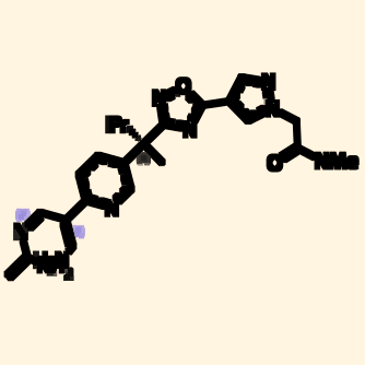 C=C(N)/N=C\C(=C/N)c1ccc([C@](C)(c2noc(-c3cnn(CC(=O)NC)c3)n2)C(C)C)cn1